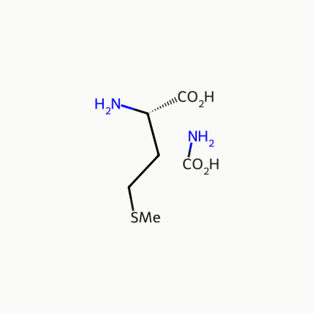 CSCC[C@H](N)C(=O)O.NC(=O)O